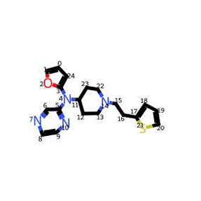 c1coc(N(c2cnccn2)C2CCN(CCc3cccs3)CC2)c1